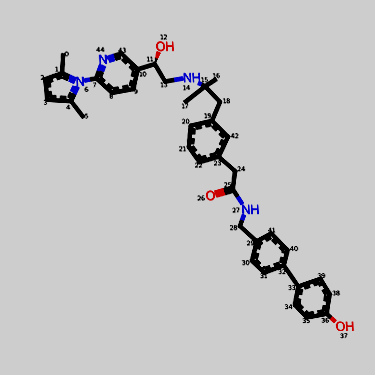 Cc1ccc(C)n1-c1ccc([C@@H](O)CNC(C)(C)Cc2cccc(CC(=O)NCc3ccc(-c4ccc(O)cc4)cc3)c2)cn1